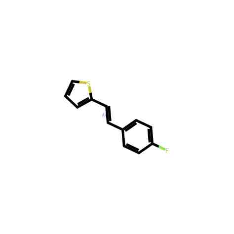 Fc1ccc(/C=C/c2cccs2)cc1